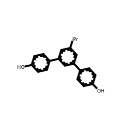 CC(C)c1cc(-c2ccc(O)cc2)cc(-c2ccc(O)cc2)c1